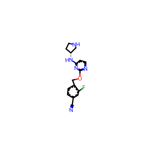 N#Cc1ccc(COc2nccc(N[C@@H]3CCNC3)n2)c(F)c1